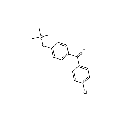 C[Si](C)(C)Sc1ccc(C(=O)c2ccc(Cl)cc2)cc1